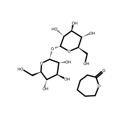 O=C1CCCCCO1.OC[C@H]1O[C@H](O[C@H]2O[C@H](CO)[C@@H](O)[C@H](O)[C@H]2O)[C@H](O)[C@@H](O)[C@@H]1O